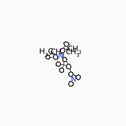 CC1(C)c2ccccc2-c2ccc(N(c3ccc4c(c3)C(C)(C)c3ccccc3-4)c3ccc4c(c3)C(c3ccccc3)(c3ccccc3)c3cc(-c5ccc6c(c5)c5ccccc5n6-c5ccccc5)ccc3-4)cc21